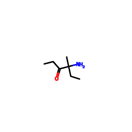 CCC(=O)C(C)(N)CC